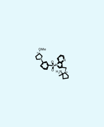 CO[C@H]1CCN(c2cccc(S(=O)(=O)n3cc(C[C@H]4CCCC4(C)N)c4ncccc43)c2)C1